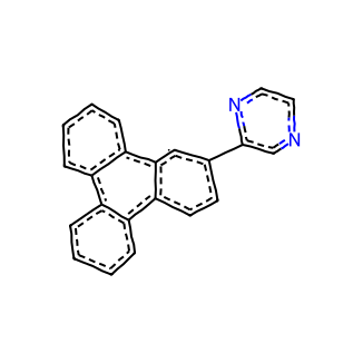 [c]1c(-c2cnccn2)ccc2c1c1ccccc1c1ccccc21